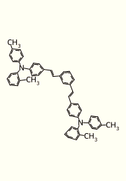 Cc1ccc(N(c2ccc(C=Cc3cccc(C=Cc4ccc(N(c5ccc(C)cc5)c5ccccc5C)cc4)c3)cc2)c2ccccc2C)cc1